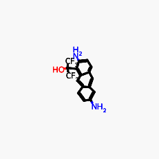 Nc1ccc2cc3c(C(O)(C(F)(F)F)C(F)(F)F)c(N)ccc3cc2c1